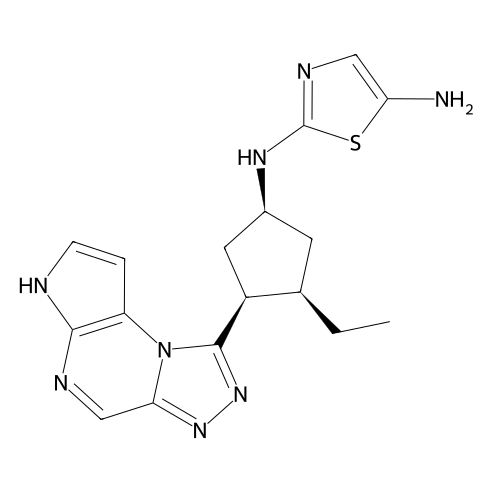 CC[C@@H]1C[C@H](Nc2ncc(N)s2)C[C@@H]1c1nnc2cnc3[nH]ccc3n12